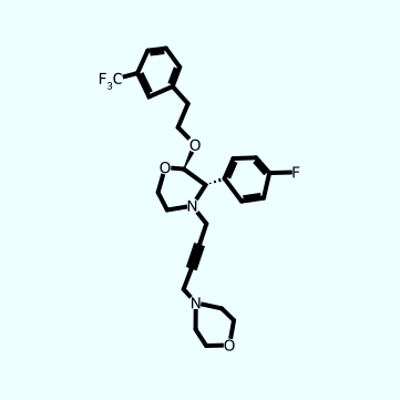 Fc1ccc([C@H]2[C@H](OCCc3cccc(C(F)(F)F)c3)OCCN2CC#CCN2CCOCC2)cc1